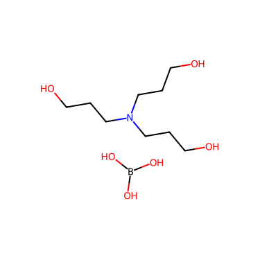 OB(O)O.OCCCN(CCCO)CCCO